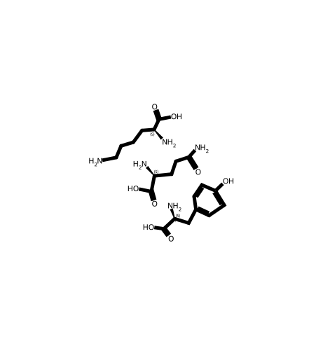 NC(=O)CC[C@H](N)C(=O)O.NCCCC[C@H](N)C(=O)O.N[C@@H](Cc1ccc(O)cc1)C(=O)O